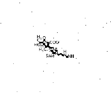 CSc1c2sc(C3=C(C(=O)[O-])N4C(=O)[C@H]([C@@H](C)O)[C@H]4[C@H]3C)c[n+]2cn1CCCNC=N